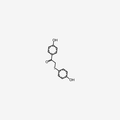 O=C(CSc1ccc(O)cc1)c1ccc(O)cc1